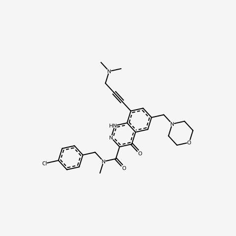 CN(C)CC#Cc1cc(CN2CCOCC2)cc2c(=O)c(C(=O)N(C)Cc3ccc(Cl)cc3)n[nH]c12